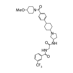 COC1CCN(C(=O)c2ccc(C3CCC(N4CC[C@@H](NC(=O)CNC(=O)c5cccc(C(F)(F)F)c5)C4)CC3)cc2)CC1